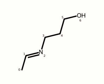 CC=NCCCO